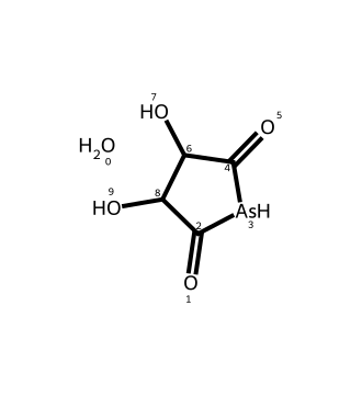 O.O=C1[AsH]C(=O)C(O)C1O